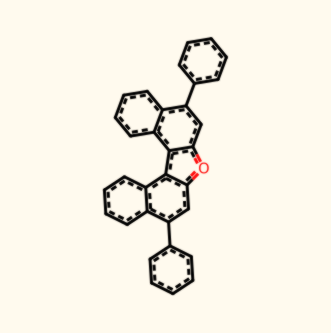 c1ccc(-c2cc3oc4cc(-c5ccccc5)c5ccccc5c4c3c3ccccc23)cc1